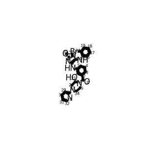 O=C(c1cccc(Nc2n[s+]([O-])nc2Nc2ccccc2Br)c1O)N1CCN(c2ccccn2)CC1